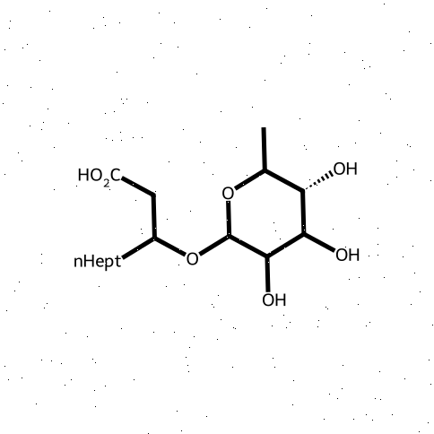 CCCCCCCC(CC(=O)O)OC1OC(C)[C@H](O)C(O)C1O